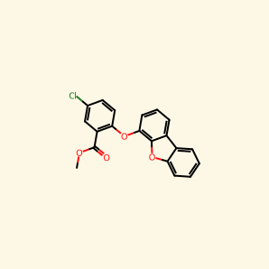 COC(=O)c1cc(Cl)ccc1Oc1cccc2c1oc1ccccc12